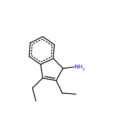 CCC1=C(CC)C(N)c2ccccc21